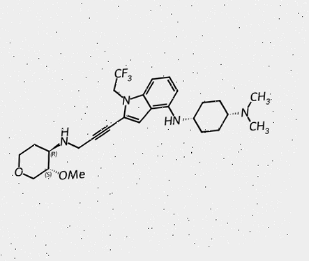 CO[C@@H]1COCC[C@H]1NCC#Cc1cc2c(N[C@H]3CC[C@@H](N(C)C)CC3)cccc2n1CC(F)(F)F